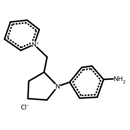 Nc1ccc(N2CCCC2C[n+]2ccccc2)cc1.[Cl-]